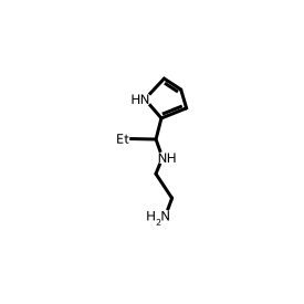 CCC(NCCN)c1ccc[nH]1